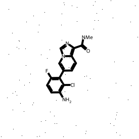 CNC(=O)c1ncn2cc(-c3c(F)ccc(N)c3Cl)ccc12